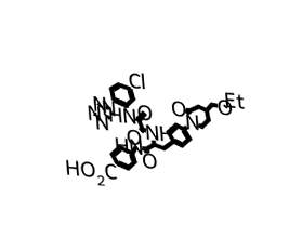 CCOCC1CCN(c2ccc(CC(NC(=O)C(=O)Nc3cc(Cl)ccc3-n3cnnn3)C(=O)Nc3ccc(C(=O)O)cc3)cc2)C(=O)C1